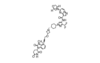 Cn1c(=O)n(C2CCC(=O)NC2=O)c2cccc(C#CCOC3CN(C[C@H]4CC[C@H](n5cc(NC(=O)c6cnn7ccc(N8C[C@H]9C[C@@H]8CO9)nc67)c(C(F)F)n5)CC4)C3)c21